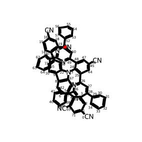 N#Cc1ccc(-c2ccc3c4ccc(-c5ccc(C#N)cc5C#N)cc4n(-c4c(-c5cc(-c6ccccc6)nc(-c6ccccc6)n5)cc(C#N)cc4-c4cc(-c5ccccc5)nc(-c5ccccc5)n4)c3c2)c(C#N)c1